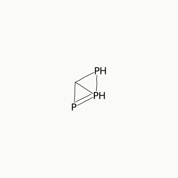 P1=[PH]2PC12